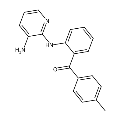 Cc1ccc(C(=O)c2ccccc2Nc2ncccc2N)cc1